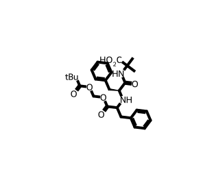 CC(C)(C)C(=O)OCOC(=O)C(Cc1ccccc1)N[C@@H](Cc1ccccc1)C(=O)NC(C)(C)C(=O)O